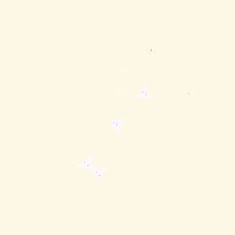 COC(=O)C1CC(O)CN1C(=O)c1csc(-c2cnn(-c3ccccc3)c2)n1